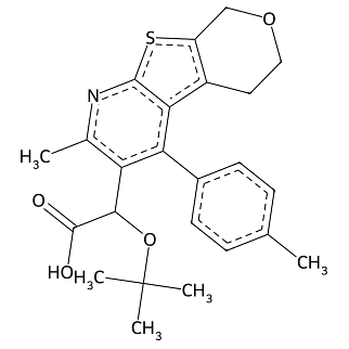 Cc1ccc(-c2c(C(OC(C)(C)C)C(=O)O)c(C)nc3sc4c(c23)CCOC4)cc1